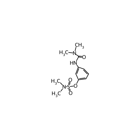 CN(C)C(=O)Nc1cccc(OS(=O)(=O)N(C)C)c1